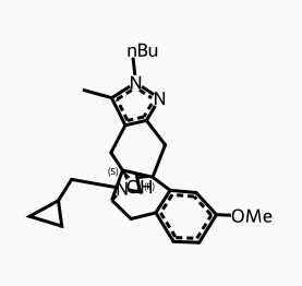 CCCCn1nc2c(c1C)C[C@@]1(O)C3Cc4ccc(OC)cc4[C@@]1(CCN3CC1CC1)C2